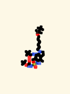 Cc1c2c(c(NC(=O)C(C)(C)C)c(C)c1NS(=O)(=O)NC(=O)OC(C)(C)C)N(CCCCCCO[Si](C)(C)C(C)(C)C)CC2